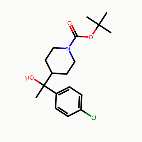 CC(C)(C)OC(=O)N1CCC(C(C)(O)c2ccc(Cl)cc2)CC1